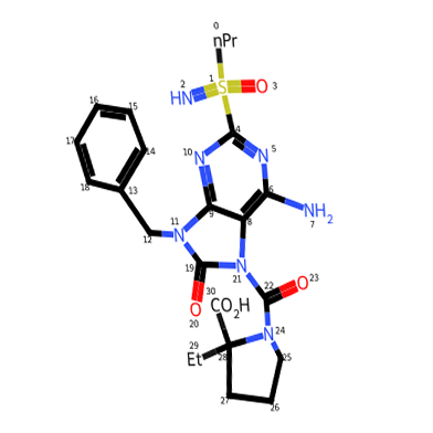 CCCS(=N)(=O)c1nc(N)c2c(n1)n(Cc1ccccc1)c(=O)n2C(=O)N1CCCC1(CC)C(=O)O